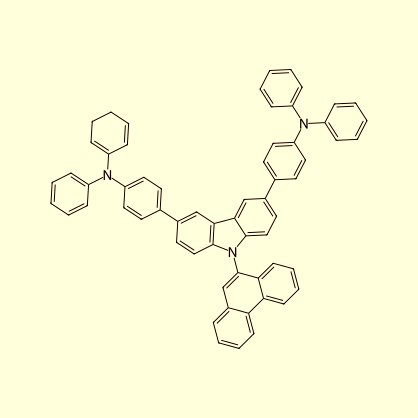 C1=CC(N(c2ccccc2)c2ccc(-c3ccc4c(c3)c3cc(-c5ccc(N(c6ccccc6)c6ccccc6)cc5)ccc3n4-c3cc4ccccc4c4ccccc34)cc2)=CCC1